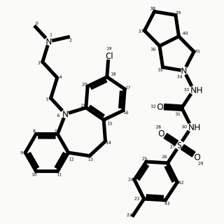 CN(C)CCCN1c2ccccc2CCc2ccc(Cl)cc21.Cc1ccc(S(=O)(=O)NC(=O)NN2CC3CCCC3C2)cc1